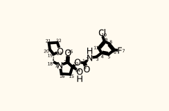 O=C(NCc1cc(F)cc(Cl)c1)OC1(O)CCN(C[C@@H]2CCCO2)C1=O